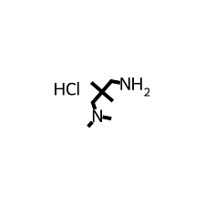 CN(C)CC(C)(C)CN.Cl